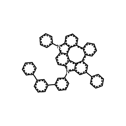 c1ccc(-c2cccc(-c3cccc(-n4c5cc(-c6ccccc6)cc6c7ccccc7c7cccc8c7c7c(c65)c4ccc7n8-c4ccccc4)c3)c2)cc1